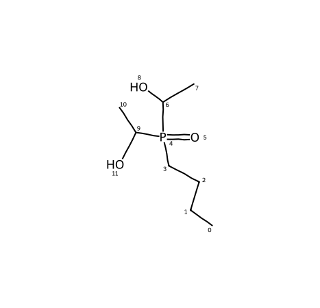 CCCCP(=O)(C(C)O)C(C)O